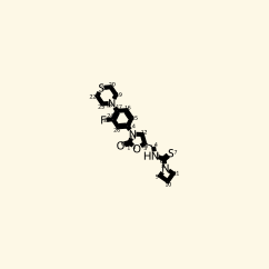 O=C1O[C@@H](CNC(=S)N2CCC2)CN1c1ccc(N2CCSCC2)c(F)c1